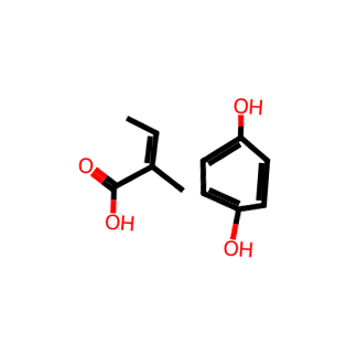 CC=C(C)C(=O)O.Oc1ccc(O)cc1